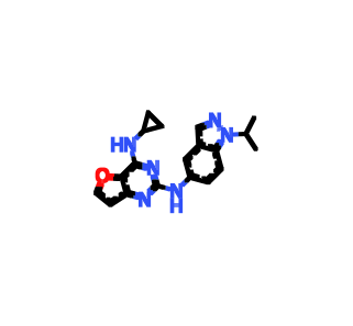 CC(C)n1ncc2cc(Nc3nc(NC4CC4)c4occc4n3)ccc21